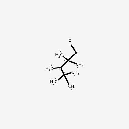 CC(C(C)(C)C)C(C)(C)CF